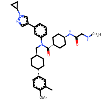 COc1ccc([C@H]2CC[C@H](CN(c3cccc(-c4cnn(C5CC5)c4)c3)C(=O)[C@H]3CC[C@H](NC(=O)CNC(=O)O)CC3)CC2)cc1C